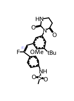 COc1c(/C=C(/F)c2ccc(NS(C)(=O)=O)cc2)cc(N2C(=O)CCNC2=O)cc1C(C)(C)C